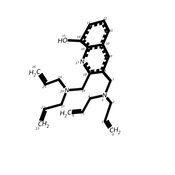 C=CCN(CC=C)Cc1cc2cccc(O)c2nc1CN(CC=C)CC=C